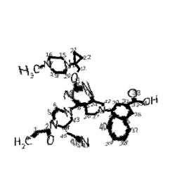 C=CC(=O)N1CCN(c2nc(OCC3(N4CCN(C)CC4)CC3)nc3c2CCN(c2cc(C(=O)O)cc4ccccc24)C3)C[C@@H]1CC#N